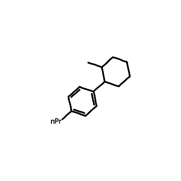 CCCc1ccc(C2CCCCC2C)cc1